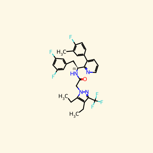 CCc1c(C(F)(F)F)nn(CC(=O)N[C@@H](Cc2cc(F)cc(F)c2)c2ncccc2-c2ccc(F)c(C)c2)c1CC